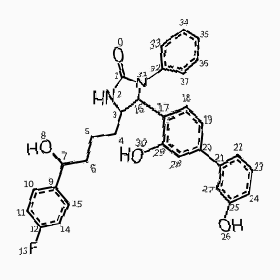 O=C1NC(CCCC(O)c2ccc(F)cc2)C(c2ccc(-c3cccc(O)c3)cc2O)N1c1ccccc1